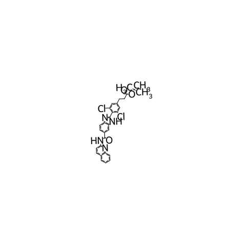 CC(C)(C)OC(=O)CCc1cc(Cl)c(-c2nc3ccc(C(=O)Nc4ccc5ccccc5n4)cc3[nH]2)c(Cl)c1